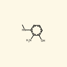 CNc1cccc(O)c1N